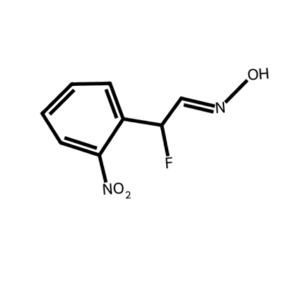 O=[N+]([O-])c1ccccc1C(F)C=NO